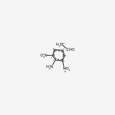 NC=O.Nc1c([N+](=O)[O-])cccc1[N+](=O)[O-]